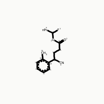 CCCC(F)OC(=O)CCC(C#N)c1ccccc1C